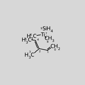 C=CC(C)=CC.[CH3][Ti][CH3].[SiH4]